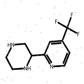 FC(F)(F)c1ccnc(C2CNCCN2)c1